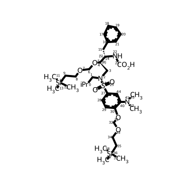 CC(C)CN(C[C@@H](OCOCC[Si](C)(C)C)[C@H](Cc1ccccc1)NC(=O)O)S(=O)(=O)c1ccc(OCOCC[Si](C)(C)C)c(N(C)C)c1